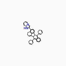 C1=CCCC(C2=c3ccccc3=C(C3=CC=CCC3)C3c4ccc(C5=CN6C=CC=CC6N5)c5c4C(=CCC5)C23)=C1